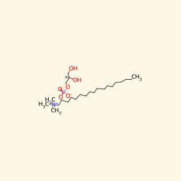 CCCCCCCCCCCCCCCCC(C[N+](C)(C)C)OP(=O)([O-])OC[C@H](O)CO